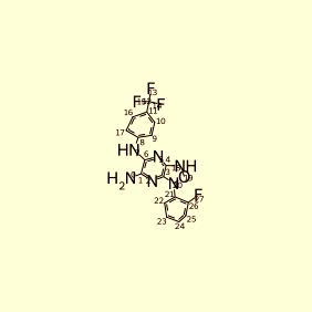 Nc1nc2c(nc1Nc1ccc(C(F)(F)F)cc1)NON2c1ccccc1F